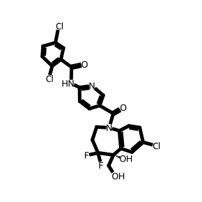 O=C(Nc1ccc(C(=O)N2CCC(F)(F)[C@](O)(CO)c3cc(Cl)ccc32)cn1)c1cc(Cl)ccc1Cl